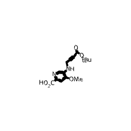 COc1cc(C(=O)O)ncc1NCC#CC(=O)OC(C)(C)C